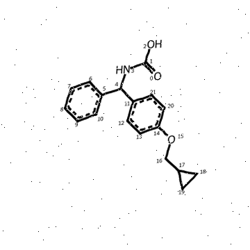 O=C(O)NC(c1ccccc1)c1ccc(OCC2CC2)cc1